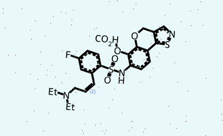 CCN(CC)C/C=C\c1cc(F)ccc1S(=O)(=O)Nc1ccc2c(c1OC(=O)O)OCc1cnsc1-2